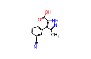 Cc1n[nH]c(C(=O)O)c1-c1cccc(C#N)c1